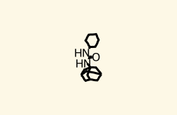 O=C(NC1CCCCC1)NC12CC3CC(CC(C3)C1)C2